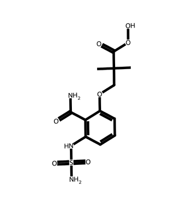 CC(C)(COc1cccc(NS(N)(=O)=O)c1C(N)=O)C(=O)OO